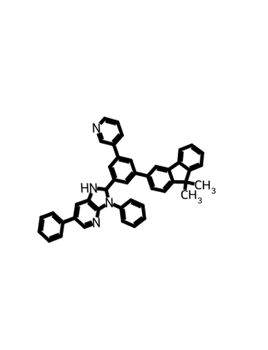 CC1(C)c2ccccc2-c2cc(-c3cc(-c4cccnc4)cc(C4Nc5cc(-c6ccccc6)cnc5N4c4ccccc4)c3)ccc21